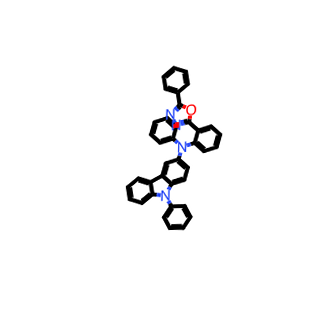 c1ccc(-c2nnc(-c3ccccc3N(c3ccccc3)c3ccc4c(c3)c3ccccc3n4-c3ccccc3)o2)cc1